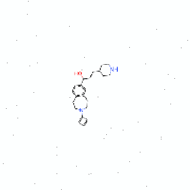 OC(CCC1CCNCC1)c1ccc2c(c1)CCN(C1=CC=C1)CC2